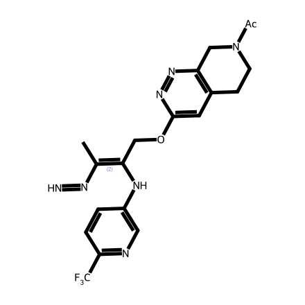 CC(=O)N1CCc2cc(OC/C(Nc3ccc(C(F)(F)F)nc3)=C(\C)N=N)nnc2C1